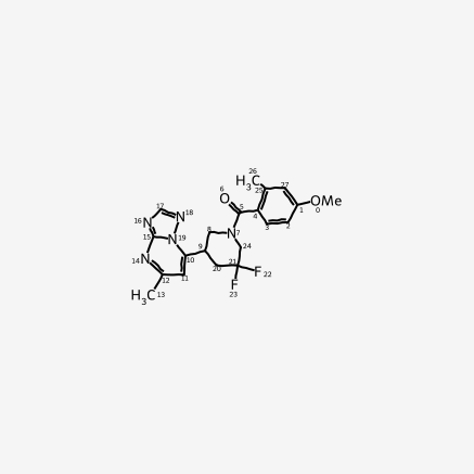 COc1ccc(C(=O)N2CC(c3cc(C)nc4ncnn34)CC(F)(F)C2)c(C)c1